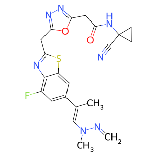 C=NN(C)/C=C(\C)c1cc(F)c2nc(Cc3nnc(CC(=O)NC4(C#N)CC4)o3)sc2c1